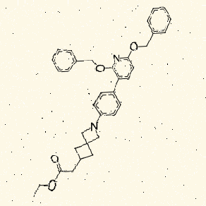 CCOC(=O)CC1CC2(C1)CN(c1ccc(-c3ccc(OCc4ccccc4)nc3OCc3ccccc3)cc1)C2